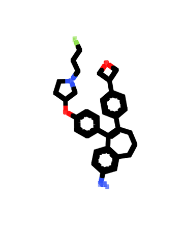 Nc1ccc2c(c1)CCCC(c1ccc(C3COC3)cc1)=C2c1ccc(OC2CCN(CCCF)C2)cc1